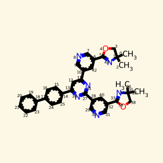 CC1(C)COC(c2cncc(-c3cc(-c4ccc(-c5ccccc5)cc4)nc(-c4cncc(C5=NC(C)(C)CO5)c4)n3)c2)=N1